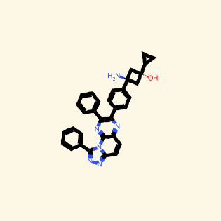 N[C@]1(c2ccc(-c3nc4ccc5nnc(-c6ccccc6)n5c4nc3-c3ccccc3)cc2)C[C@](O)(C2CC2)C1